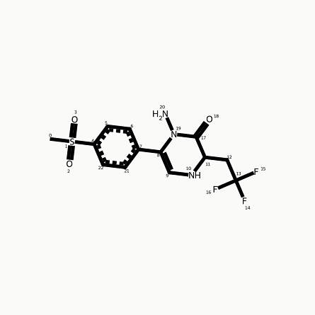 CS(=O)(=O)c1ccc(C2=CNC(CC(F)(F)F)C(=O)N2N)cc1